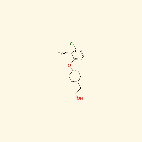 Cc1c(Cl)cccc1OC1CCC(CCO)CC1